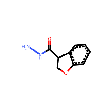 NNC(=O)C1COc2ccccc21